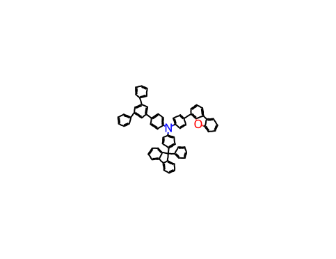 c1ccc(-c2cc(-c3ccccc3)cc(-c3ccc(N(c4ccc(-c5cccc6c5oc5ccccc56)cc4)c4ccc(C5(c6ccccc6)c6ccccc6-c6ccccc65)cc4)cc3)c2)cc1